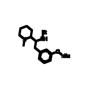 CCCCOc1cccc(CC(NCC)C2CCCCN2C)c1